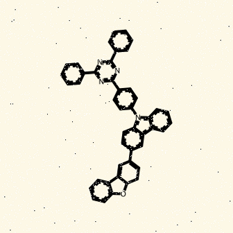 C1=C(c2ccc3c(c2)c2ccccc2n3-c2ccc(-c3nc(-c4ccccc4)nc(-c4ccccc4)n3)cc2)C=C2c3ccccc3OC2C1